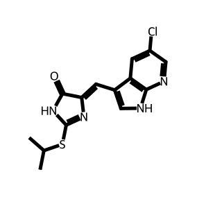 CC(C)SC1=NC(=Cc2c[nH]c3ncc(Cl)cc23)C(=O)N1